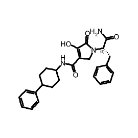 NC(=O)[C@H](Cc1ccccc1)N1CC(C(=O)NC2CCC(c3ccccc3)CC2)=C(O)C1=O